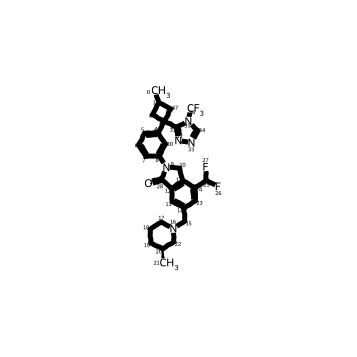 CC1CC(c2cccc(N3Cc4c(cc(CN5CCC[C@H](C)C5)cc4C(F)F)C3=O)c2)(c2nncn2C(F)(F)F)C1